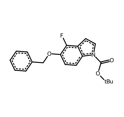 CC(C)(C)OC(=O)n1ccc2c(F)c(OCc3ccccc3)ccc21